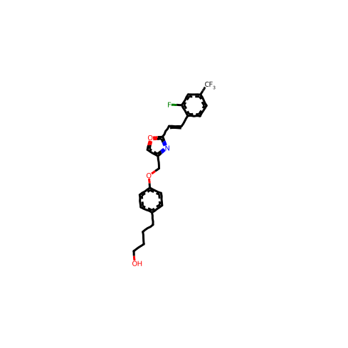 OCCCCc1ccc(OCc2coc(C=Cc3ccc(C(F)(F)F)cc3F)n2)cc1